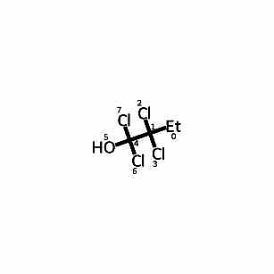 CCC(Cl)(Cl)C(O)(Cl)Cl